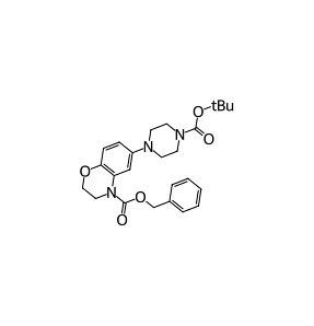 CC(C)(C)OC(=O)N1CCN(c2ccc3c(c2)N(C(=O)OCc2ccccc2)CCO3)CC1